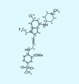 COc1cc(S(C)(=O)=O)ccc1NCC#Cc1cc2c(NC3CCN(C)CC3)cc(Cl)cc2n1CC(F)(F)F